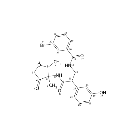 CC1OCC(=O)C1(C)NC(=O)C(CNC(=O)c1cccc(Br)c1)c1cccc(O)c1